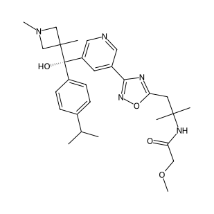 COCC(=O)NC(C)(C)Cc1nc(-c2cncc([C@@](O)(c3ccc(C(C)C)cc3)C3(C)CN(C)C3)c2)no1